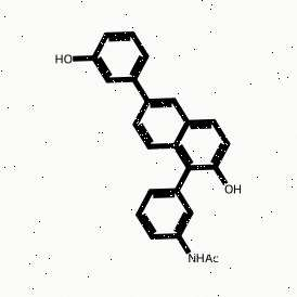 CC(=O)Nc1cccc(-c2c(O)ccc3cc(-c4cccc(O)c4)ccc23)c1